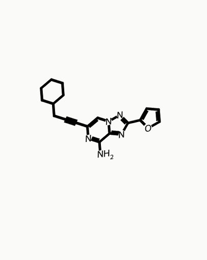 Nc1nc(C#CCC2CCCCC2)cn2nc(-c3ccco3)nc12